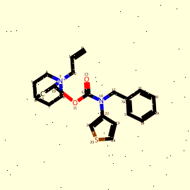 C=CC[N+]12CCC(CC1)CC2OC(=O)N(Cc1ccccc1)c1ccsc1